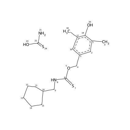 Cc1cc(COC(=S)NCC2CCCCC2)cc(C)c1O.NC(O)=S